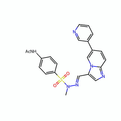 CC(=O)Nc1ccc(S(=O)(=O)N(C)N=Cc2cnc3ccc(-c4cccnc4)cn23)cc1